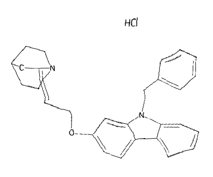 C(COc1ccc2c3ccccc3n(Cc3ccccc3)c2c1)=C1CC2CCN1CC2.Cl